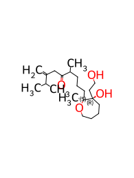 C=C(CC(=O)C(C)CCC[C@]1(C)OCCCC[C@@]1(O)CCO)C(C)C